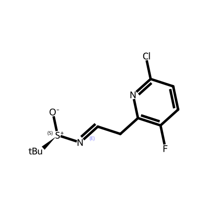 CC(C)(C)[S@@+]([O-])/N=C/Cc1nc(Cl)ccc1F